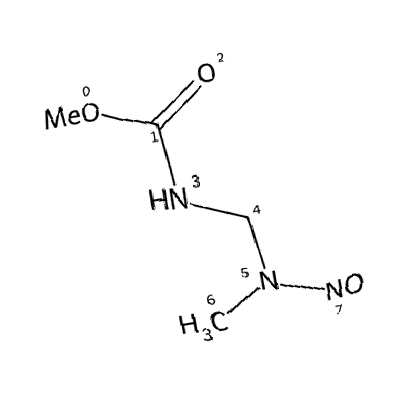 COC(=O)NCN(C)N=O